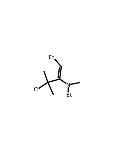 CC/C=C(/N(C)CC)C(C)(C)Cl